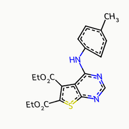 CCOC(=O)c1sc2ncnc(Nc3ccc(C)cc3)c2c1C(=O)OCC